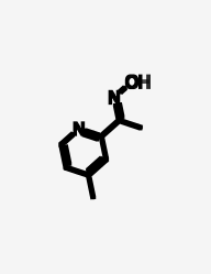 C/C(=N\O)c1cc(C)ccn1